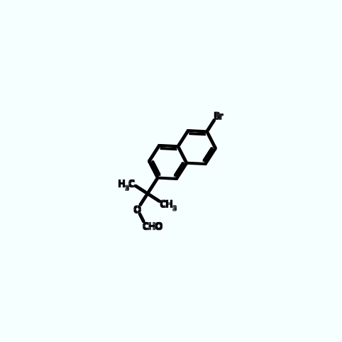 CC(C)(OC=O)c1ccc2cc(Br)ccc2c1